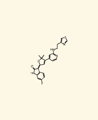 CC1(C)OC(=C2C(=O)Nc3cc(F)ccc32)C=C1c1ccnc(NCCc2cscn2)c1